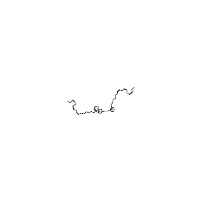 CC/C=C\C/C=C\C/C=C\CCCCCCC(Cl)COCCCC1OC1CCCCCC/C=C\C/C=C\C/C=C\CC